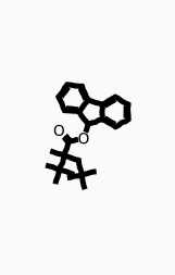 CC(C)(C)CC(C)(C(=O)OC1c2ccccc2-c2ccccc21)C(C)(C)C